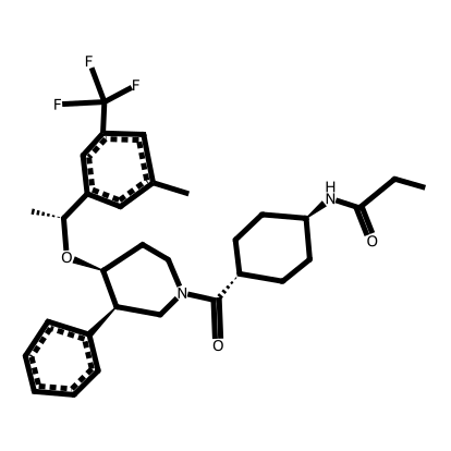 CCC(=O)N[C@H]1CC[C@H](C(=O)N2CC[C@H](O[C@H](C)c3cc(C)cc(C(F)(F)F)c3)[C@H](c3ccccc3)C2)CC1